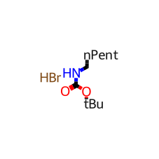 Br.CCCCCCNC(=O)OC(C)(C)C